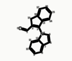 O=CC1=C(n2ccc3ccccc32)c2ccccc2C1